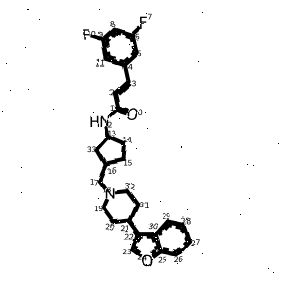 O=C(/C=C/c1cc(F)cc(F)c1)NC1CCC(CN2CCC(c3coc4ccccc34)CC2)C1